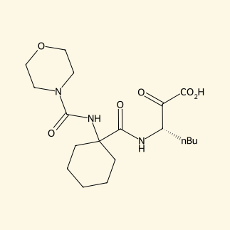 CCCC[C@H](NC(=O)C1(NC(=O)N2CCOCC2)CCCCC1)C(=O)C(=O)O